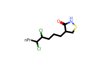 CCCC(Cl)C(Cl)CCCC1CSNC1=O